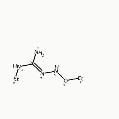 CCNC(N)=NNOCC